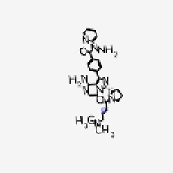 CN(C)C/C=C/C(=O)N1CCC[C@H]1c1nc(-c2ccc(C(=O)N(N)c3ccccn3)cc2)c2c(N)nccn12